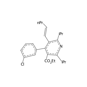 CCC/C=C/c1c(C(C)C)nc(C(C)C)c(C(=O)OCC)c1-c1cccc(Cl)c1